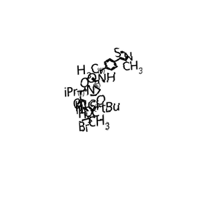 Cc1ncsc1-c1ccc([C@H](C)NC(=O)[C@@H]2CC(O[Si](C)(C)C(C)(C)C)CN2C(=O)[C@@H](c2cc(OC(C)CBr)no2)C(C)C)cc1